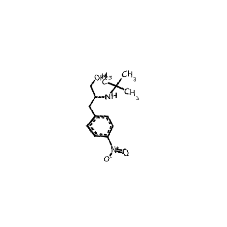 CC(C)(C)NC(CO)Cc1ccc([N+](=O)[O-])cc1